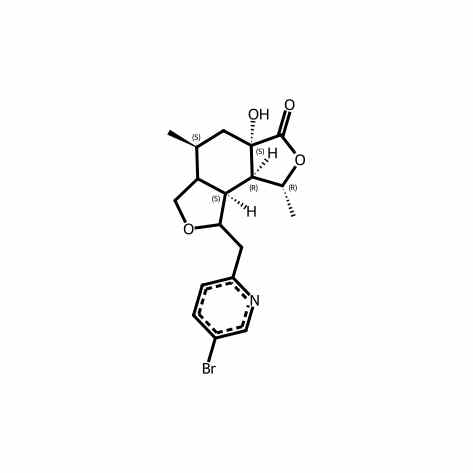 C[C@H]1C[C@@]2(O)C(=O)O[C@H](C)[C@H]2[C@H]2C(Cc3ccc(Br)cn3)OCC21